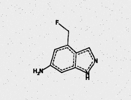 Nc1cc(CF)c2cn[nH]c2c1